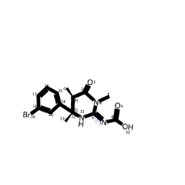 C[C@H]1C(=O)N(C)/C(=N\C(=O)O)N[C@]1(C)c1cccc(Br)c1